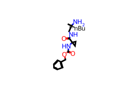 CCCC[C@@](C)(N)CNC(=O)C1(NC(=O)OCc2ccccc2)CC1